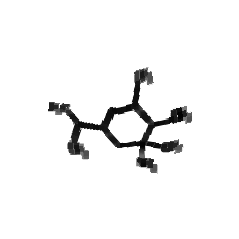 CC(C)C1CC(C)C(C)C(C)(N)C1